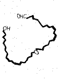 O=CCCCCCCC/C=C\C/C=C\CCCCCOCCCCC/C=C\C/C=C\CCCCCCCCO